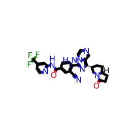 N#Cc1cc(C(=O)Nc2cc(C(F)(F)F)ccn2)ccc1C1=NC([C@@H]2CC[C@H]3CCC(=O)N3C2)=C2C=NC=C[N+]12N